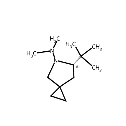 CN(C)N1CC2(CC2)C[C@H]1C(C)(C)C